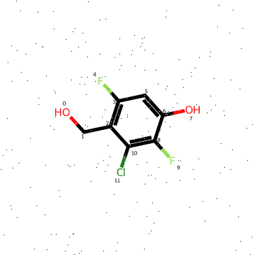 OCc1c(F)cc(O)c(F)c1Cl